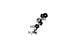 NS(=O)OC[C@@H]1C[C@@H](n2ccc3c(N[C@H]4CCc5ccccc54)ncnc32)C[C@H]1O